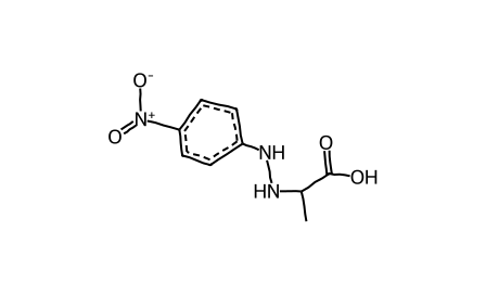 CC(NNc1ccc([N+](=O)[O-])cc1)C(=O)O